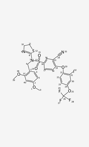 COc1ccc(CN(C2=NCCS2)S(=O)(=O)c2ccc(Oc3ccc(OC(F)(F)F)cc3I)c(C#N)c2)c(OC)c1